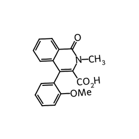 COc1ccccc1-c1c(C(=O)O)n(C)c(=O)c2ccccc12